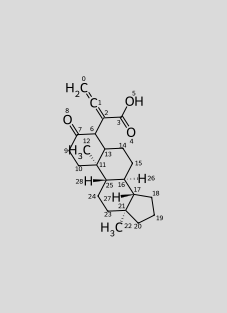 C=C=C(C(=O)O)C1C(=O)CC[C@@]2(C)C1CC[C@H]1[C@@H]3CCC[C@@]3(C)CC[C@@H]12